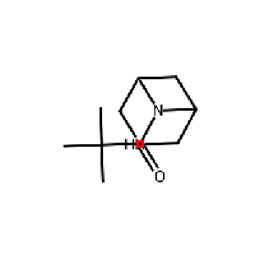 CC(C)(C)C(=O)N1C2CNCC1C2